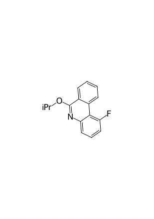 CC(C)Oc1nc2cccc(F)c2c2ccccc12